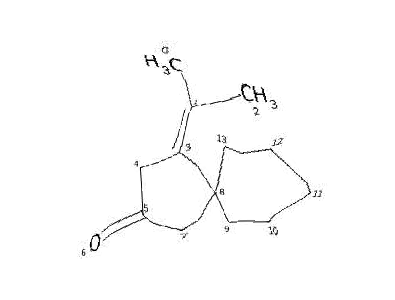 CC(C)=C1CC(=O)CC12CCCCC2